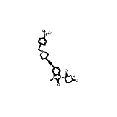 Cn1c(=O)n(C2CCC(=O)NC2=O)c2ccc(C#CC3CCN(Cc4ccc([N+](=O)[O-])cc4)CC3)cc21